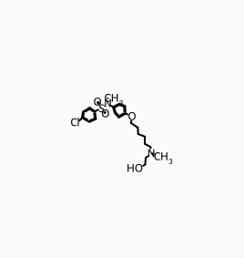 CN(CCO)CCCCCCOc1ccc(N(C)S(=O)(=O)c2ccc(Cl)cc2)cc1